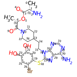 C[C@H](N)C(=O)O[C@@H](C)C(=O)N1CCC(CCn2c(Sc3cc(O)c(O)cc3Br)nc3c(N)ncnc32)CC1